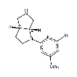 CCc1cc(OC)cc(N2CC[C@@H]3CNC[C@@H]32)n1